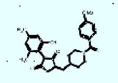 COc1ccc(C(=O)N2CCC(CC3CC(=O)C(c4c(C)cc(C)cc4C)C3=O)CC2)cc1